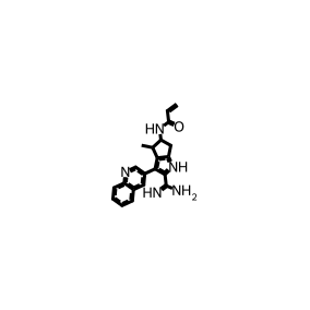 C=CC(=O)NC1Cc2[nH]c(C(=N)N)c(-c3cnc4ccccc4c3)c2C1C